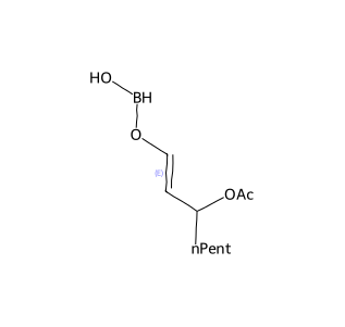 CCCCCC(/C=C/OBO)OC(C)=O